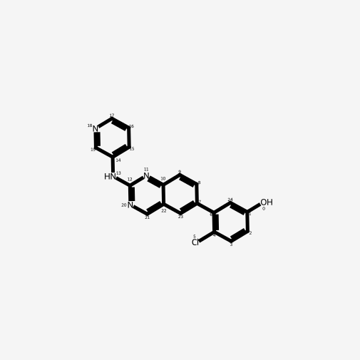 Oc1ccc(Cl)c(-c2ccc3nc(Nc4cccnc4)ncc3c2)c1